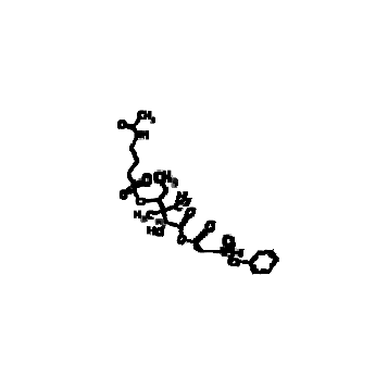 CCC(OS(=O)(=O)CCCNC(C)=O)C(C)(C)[C@@H](O)C(=O)OC(=O)C[PH](=O)Oc1ccccc1